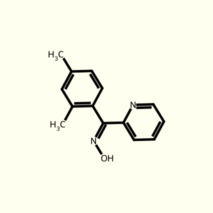 Cc1ccc(C(=NO)c2ccccn2)c(C)c1